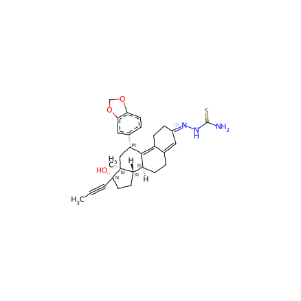 CC#C[C@]1(O)CC[C@H]2[C@@H]3CCC4=C/C(=N\NC(N)=S)CCC4=C3[C@@H](c3ccc4c(c3)OCO4)C[C@@]21C